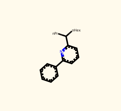 CCCCCCC(CCC)c1cccc(-c2ccccc2)n1